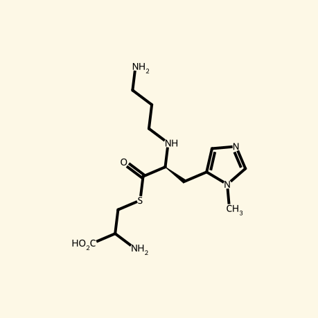 Cn1cncc1C[C@H](NCCCN)C(=O)SCC(N)C(=O)O